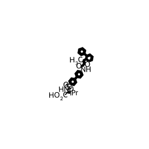 CC1=C(C(=O)Nc2ccc(-c3ccc(S(=O)(=O)N[C@H](C(=O)O)C(C)C)cc3)cc2)OC2C=CC=C(c3ccccc3)C12